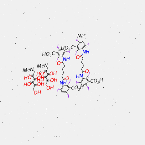 CNC[C@H](O)[C@@H](O)[C@H](O)[C@H](O)CO.CNC[C@H](O)[C@@H](O)[C@H](O)[C@H](O)CO.O=C(CCCCC(=O)Nc1c(I)cc(I)c(C(=O)O)c1I)Nc1c(I)cc(I)c(C(=O)O)c1I.O=C(CCCCC(=O)Nc1c(I)cc(I)c(C(=O)O)c1I)Nc1c(I)cc(I)c(C(=O)O)c1I.[Na+]